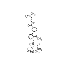 COc1c(CN2O[C@@H](CO)C(C(C)O)[C@H]2C(N)=O)cccc1-c1cccc(C(=O)NCCN(C)C)c1